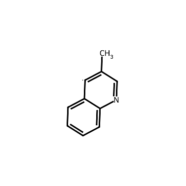 Cc1[c]c2ccccc2nc1